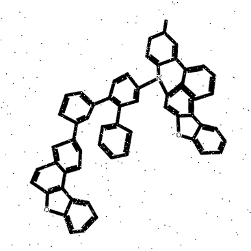 CC1C=C(c2ccccc2)C(N(c2ccc(-c3cccc(-c4ccc5c(ccc6oc7ccccc7c65)c4)c3)c(-c3ccccc3)c2)c2ccc3c(c2)oc2ccccc23)=CC1